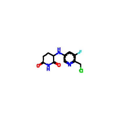 O=C1CCC(Nc2cnc(CCl)c(F)c2)C(=O)N1